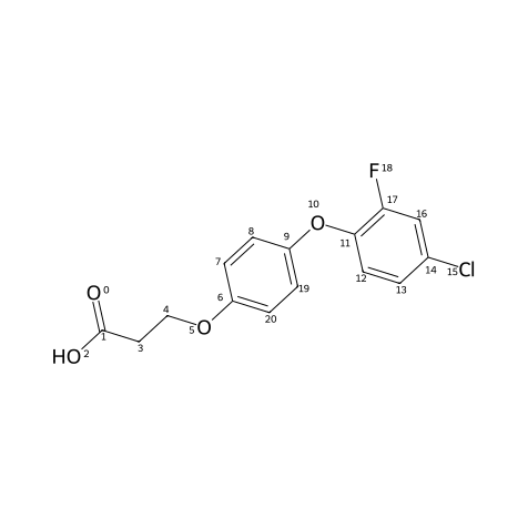 O=C(O)CCOc1ccc(Oc2ccc(Cl)cc2F)cc1